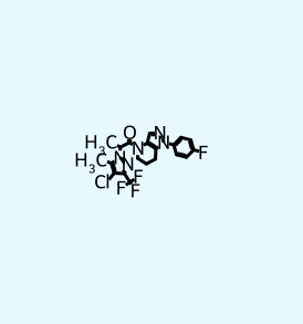 Cc1c(Cl)c(C(F)(F)F)nn1C(C)C(=O)N1CCCc2c1cnn2-c1ccc(F)cc1